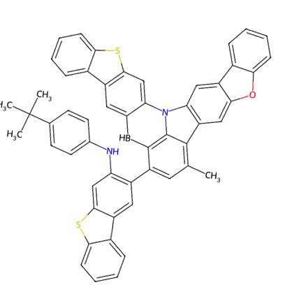 Cc1cc(-c2cc3c(cc2Nc2ccc(C(C)(C)C)cc2)sc2ccccc23)c2c3c1c1cc4oc5ccccc5c4cc1n3-c1cc3sc4ccccc4c3cc1B2